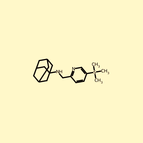 CS(C)(C)c1ccc(CNC23CC4CC(CC(C4)C2)C3)nc1